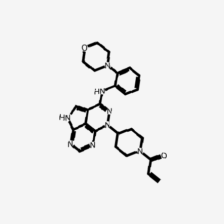 C=CC(=O)N1CCC(N2N=C(Nc3ccccc3N3CCOCC3)c3c[nH]c4ncnc2c34)CC1